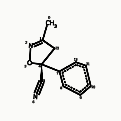 CC1=NO[C@@](C#N)(c2ccccc2)C1